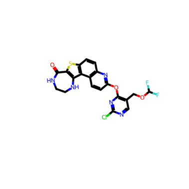 O=C1NCCNc2c1sc1ccc3nc(Oc4nc(Cl)ncc4COC(F)F)ccc3c21